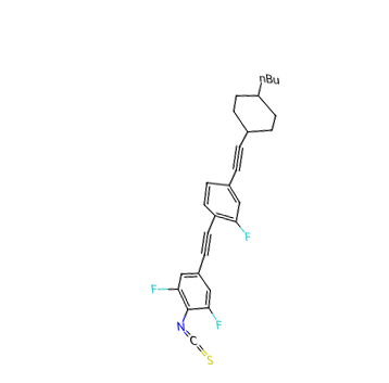 CCCCC1CCC(C#Cc2ccc(C#Cc3cc(F)c(N=C=S)c(F)c3)c(F)c2)CC1